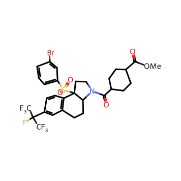 COC(=O)C1CCC(C(=O)N2CCC3(S(=O)(=O)c4cccc(Br)c4)c4ccc(C(F)(C(F)(F)F)C(F)(F)F)cc4CCC23)CC1